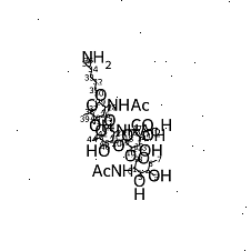 CC(=O)NC1C(O)[C@H](O)C(C)O[C@H]1OC1C(O)[C@H](O)C(C(=O)O)O[C@H]1OC1C(NC(C)=O)[C@H](OC2C(NC(C)=O)[C@H](OCCCCCN)OC(C)[C@@H]2O)OC(C)[C@H]1O